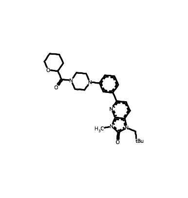 Cn1c(=O)n(CC(C)(C)C)c2ccc(-c3cccc(N4CCN(C(=O)C5CCCCO5)CC4)c3)nc21